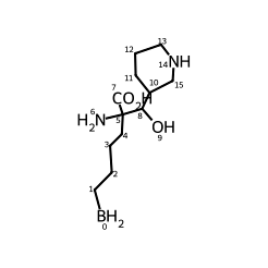 BCCCCC(N)(C(=O)O)C(O)C1CCCNC1